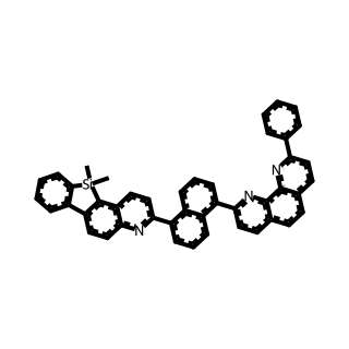 C[Si]1(C)c2ccccc2-c2ccc3nc(-c4cccc5c(-c6ccc7ccc8ccc(-c9ccccc9)nc8c7n6)cccc45)ccc3c21